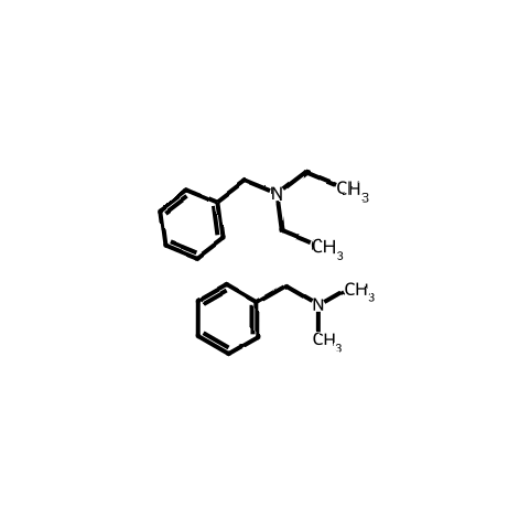 CCN(CC)Cc1ccccc1.CN(C)Cc1ccccc1